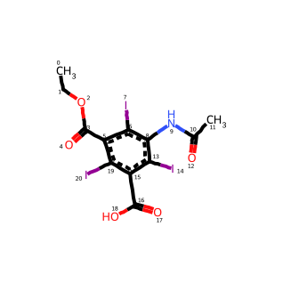 CCOC(=O)c1c(I)c(NC(C)=O)c(I)c(C(=O)O)c1I